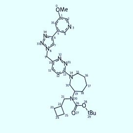 COc1cncc(-c2cn(Cc3ccc(N4CCCCC(N(CC5CCC5)C(=O)OC(C)(C)C)C4)nn3)nn2)c1